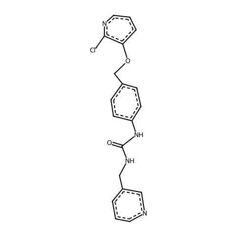 O=C(NCc1cccnc1)Nc1ccc(COc2cccnc2Cl)cc1